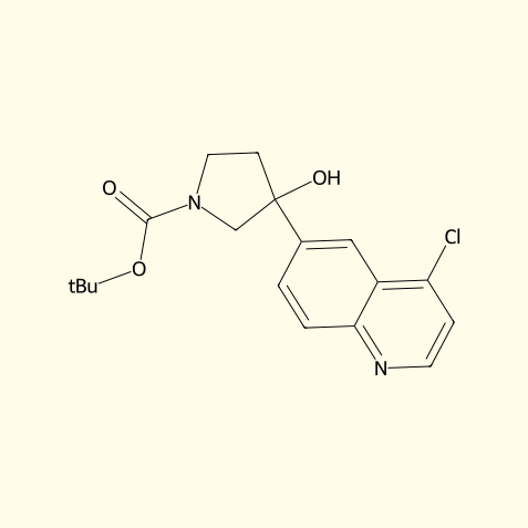 CC(C)(C)OC(=O)N1CCC(O)(c2ccc3nccc(Cl)c3c2)C1